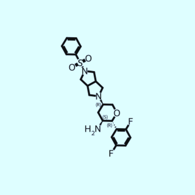 N[C@H]1C[C@@H](N2CC3CN(S(=O)(=O)c4ccccc4)CC3C2)CO[C@@H]1c1cc(F)ccc1F